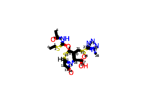 CCSC(NC(C)=O)OC1S[C@@H]2CC(=O)N2C(C(=O)O)=C1CSc1nnnn1C